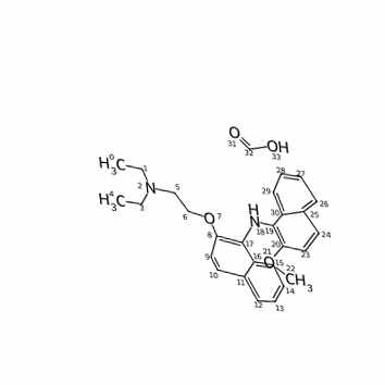 CCN(CC)CCOc1ccc2ccccc2c1Nc1c(OC)ccc2ccccc12.O=CO